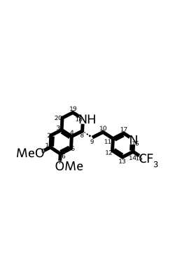 COc1cc2c(cc1OC)[C@@H](CCc1ccc(C(F)(F)F)nc1)NCC2